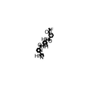 C=C(F)C(=O)N1CCCC(C(=O)Nc2ccc(NC(=O)c3cccc(-c4ccn[nH]4)n3)nc2)C1